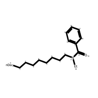 CCCCCCCCCCCCCCCCCCN(CC)C(=O)c1cc[c]cc1